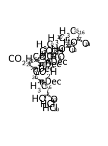 CCC(=O)O.CCC(=O)O.CCC(=O)O.CCC(=O)O.CCCCCCCCCCCC(=O)O.CCCCCCCCCCCC(=O)O.CCCCCCCCCCCC(=O)O.CCCCCCCCCCCC(=O)O.Cl.Cl